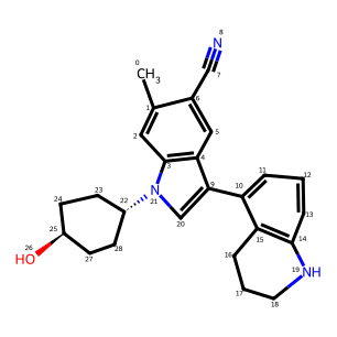 Cc1cc2c(cc1C#N)c(-c1cccc3c1CCCN3)cn2[C@H]1CC[C@H](O)CC1